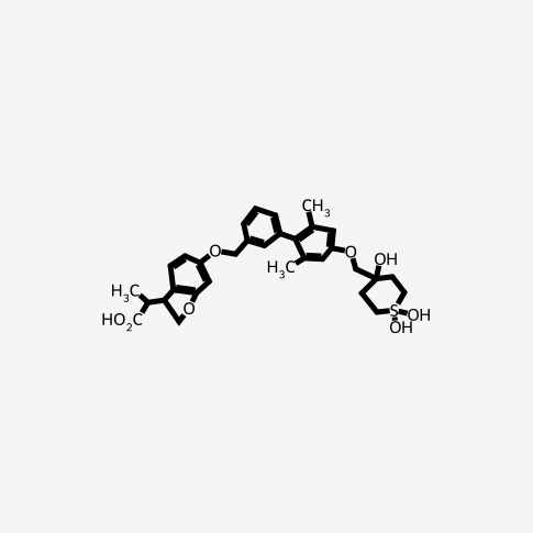 Cc1cc(OCC2(O)CCS(O)(O)CC2)cc(C)c1-c1cccc(COc2ccc3c(c2)OCC3C(C)C(=O)O)c1